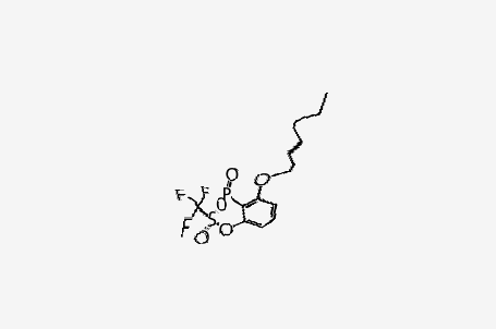 CCCCCCOc1cccc(OS(=O)(=O)C(F)(F)F)c1P=O